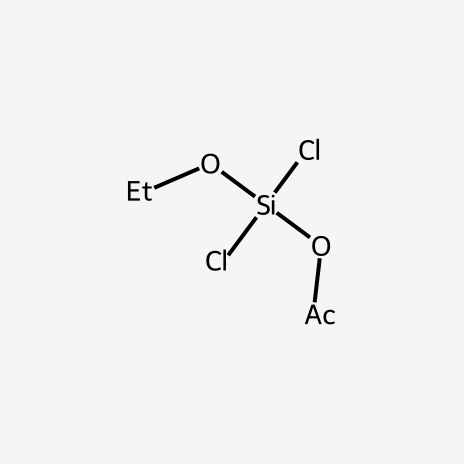 CCO[Si](Cl)(Cl)OC(C)=O